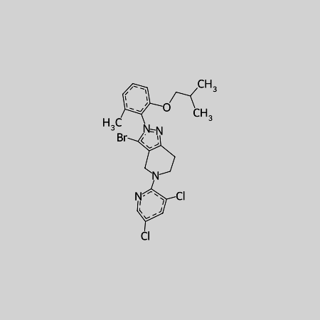 Cc1cccc(OCC(C)C)c1-n1nc2c(c1Br)CN(c1ncc(Cl)cc1Cl)CC2